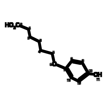 O=C(O)CCCCCOc1ccc(O)cc1